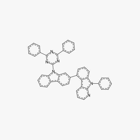 c1ccc(-c2nc(-c3ccccc3)nc(-n3c4ccccc4c4ccc(-c5cccc6c5c5cccnc5n6-c5ccccc5)cc43)n2)cc1